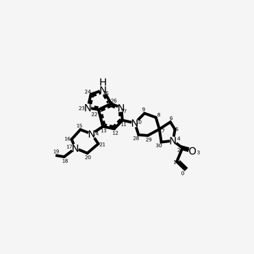 C=CC(=O)N1CCC2(CCN(c3cc(N4CCN(CC)CC4)c4nc[nH]c4n3)CC2)C1